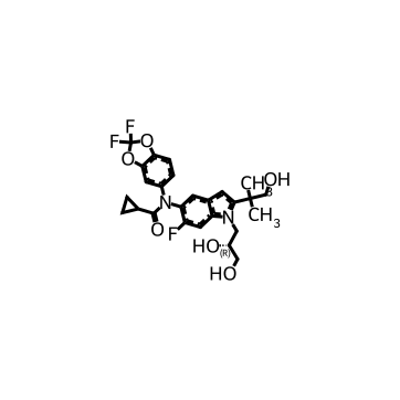 CC(C)(CO)c1cc2cc(N(C(=O)C3CC3)c3ccc4c(c3)OC(F)(F)O4)c(F)cc2n1C[C@@H](O)CO